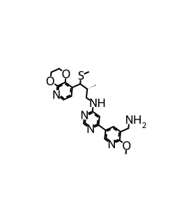 COc1ncc(-c2cc(NC[C@@H](C)C(SC)c3ccnc4c3OCCO4)ncn2)cc1CN